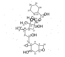 C[C@H](CC(O)C1OC12CC1COC1CC2O)C1CC(O)([C@@H](C)OC(O)C2CCCCC2)C1(C)C